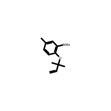 C=CC(C)(C)Oc1ccc(C)cc1NC